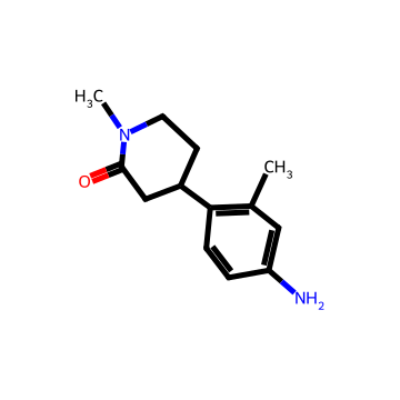 Cc1cc(N)ccc1C1CCN(C)C(=O)C1